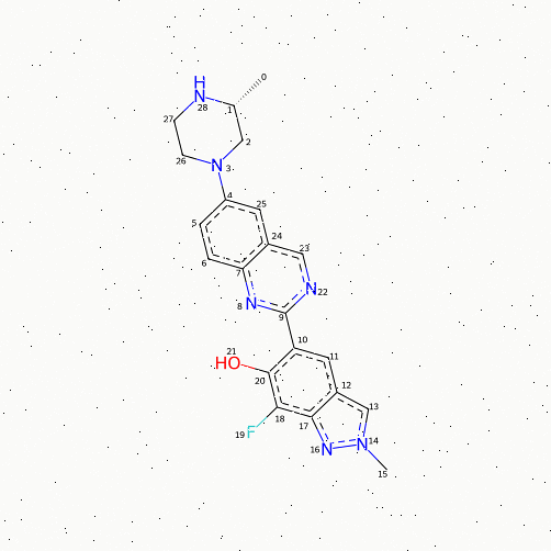 C[C@@H]1CN(c2ccc3nc(-c4cc5cn(C)nc5c(F)c4O)ncc3c2)CCN1